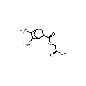 CC1C2CC(C(=O)OCC(=O)O)C(C2)C1C